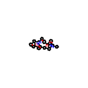 c1ccc(-c2cc(-c3cccc(-c4ccccc4)c3-c3oc(-c4ccccc4)c4ccccc34)nc(-c3cccc(-c4ccc(-c5cccc(-c6nc(-c7ccccc7)cc(-c7ccccc7)n6)c5-c5oc(-c6ccccc6)c6ccccc56)cc4)c3)n2)cc1